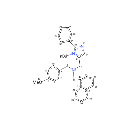 CCCCn1c(CN(Cc2ccc(OC)cc2)Cc2cccc3ccccc23)cnc1-c1ccccc1